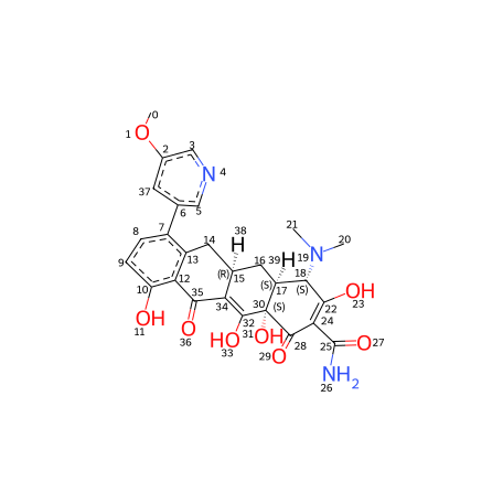 COc1cncc(-c2ccc(O)c3c2C[C@H]2C[C@H]4[C@H](N(C)C)C(O)=C(C(N)=O)C(=O)[C@@]4(O)C(O)=C2C3=O)c1